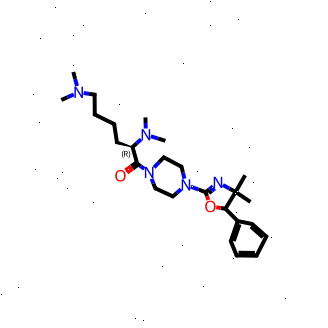 CN(C)CCCC[C@H](C(=O)N1CCN(C2=NC(C)(C)C(c3ccccc3)O2)CC1)N(C)C